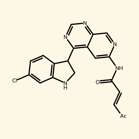 CC(=O)C=CC(=O)Nc1cc2c(C3CNc4cc(Cl)ccc43)ncnc2cn1